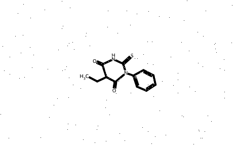 CCC1C(=O)NC(=S)N(c2ccccc2)C1=O